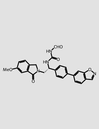 COc1ccc2c(c1)C(=O)N(C[C@H](NC(=O)NC=O)c1ccc(-c3ccc4cnoc4c3)cc1)C2